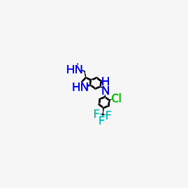 CNCc1c[nH]c2cc(Nc3ccc(C(F)(F)F)cc3Cl)ccc12